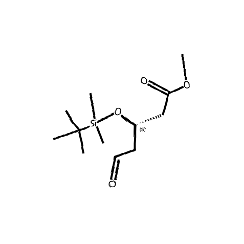 COC(=O)C[C@H](CC=O)O[Si](C)(C)C(C)(C)C